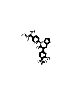 CS(=O)(=O)c1ccc(C(CC2CCCC2)C(=O)Nc2ccc(C(=N)NO)cn2)cc1Cl